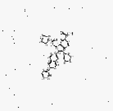 O=C(O)c1ccc2c(C3CCCCC3)c(-c3ccc4nc(-c5ccccc5)ccc4c3)n(CC(=O)N3CCOCC3)c2c1